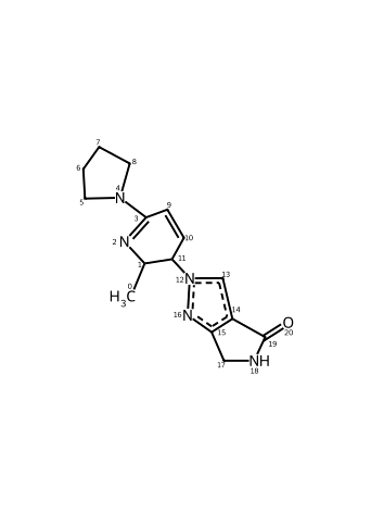 CC1N=C(N2CCCC2)C=CC1n1cc2c(n1)CNC2=O